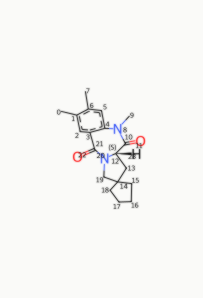 Cc1cc2c(cc1C)N(C)C(=O)[C@@H]1CC3(CCCC3)CN1C2=O